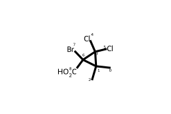 CC1(C)C(Cl)(Cl)C1(Br)C(=O)O